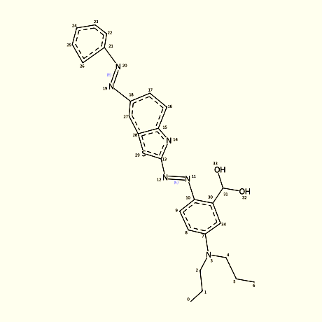 CCCN(CCC)c1ccc(/N=N/c2nc3ccc(/N=N/c4ccccc4)cc3s2)c(C(O)O)c1